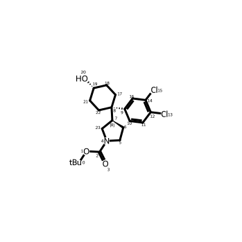 CC(C)(C)OC(=O)N1CC[C@H]([C@]2(c3ccc(Cl)c(Cl)c3)CC[C@@H](O)CC2)C1